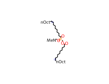 CCCCCCCC/C=C\CCCCCCCC(=O)OCP(OCNC)C(=O)CCCCCCC/C=C\CCCCCCCC